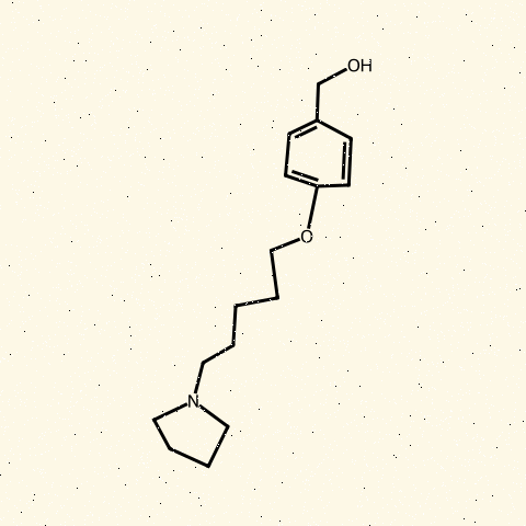 OCc1ccc(OCCCCCN2CCCC2)cc1